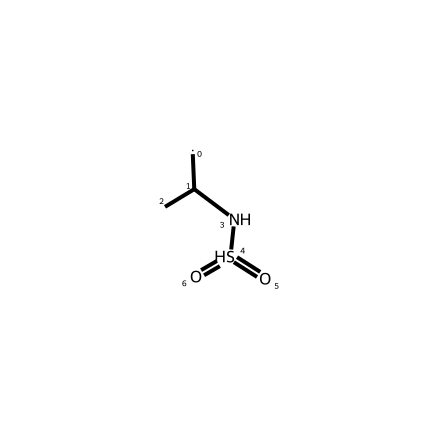 [CH2]C(C)N[SH](=O)=O